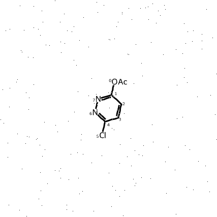 CC(=O)Oc1ccc(Cl)nn1